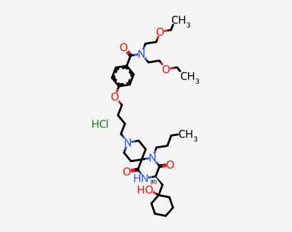 CCCCN1C(=O)[C@@H](CC2(O)CCCCC2)NC(=O)C12CCN(CCCCOc1ccc(C(=O)N(CCOCC)CCOCC)cc1)CC2.Cl